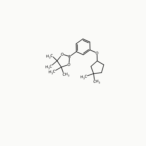 CC1(C)CCC(Oc2cccc(B3OC(C)(C)C(C)(C)O3)c2)C1